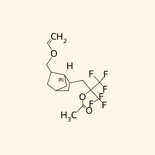 C=COCC1CC2CC(CC(OC(C)=O)(C(F)(F)F)C(F)(F)F)[C@H]1C2